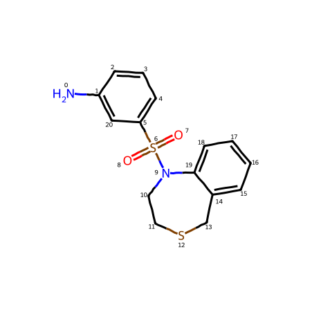 Nc1cccc(S(=O)(=O)N2CCSCc3ccccc32)c1